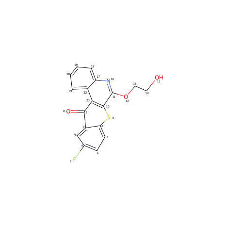 O=c1c2cc(F)ccc2sc2c(OCCO)nc3ccccc3c12